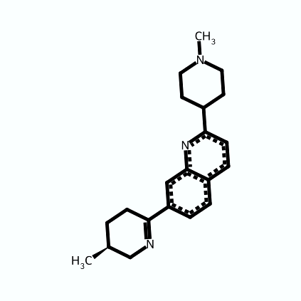 C[C@H]1CCC(c2ccc3ccc(C4CCN(C)CC4)nc3c2)=NC1